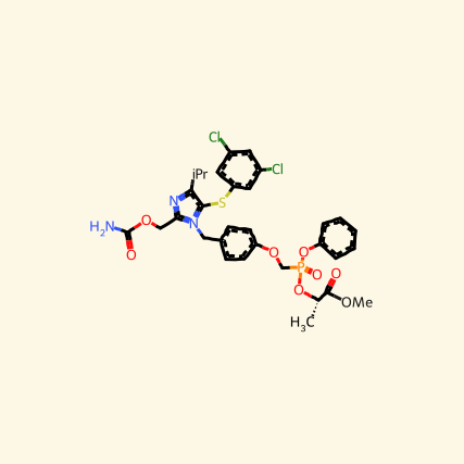 COC(=O)[C@H](C)OP(=O)(COc1ccc(Cn2c(COC(N)=O)nc(C(C)C)c2Sc2cc(Cl)cc(Cl)c2)cc1)Oc1ccccc1